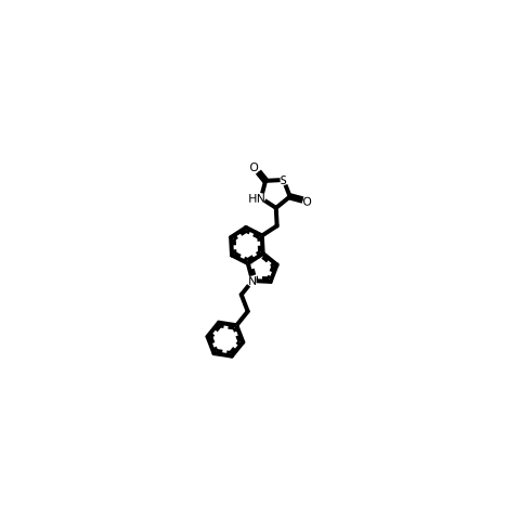 O=C1NC(Cc2cccc3c2ccn3CCc2ccccc2)C(=O)S1